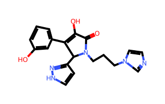 O=C1C(O)=C(c2cccc(O)c2)C(c2cc[nH]n2)N1CCCn1ccnc1